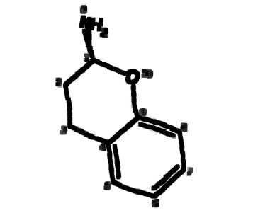 N[C@@H]1CCc2ccccc2O1